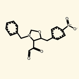 O=CC(=O)C1C(Cc2ccc([N+](=O)[O-])cc2)OCN1Cc1ccccc1